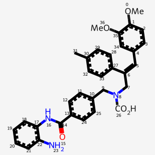 COc1ccc(C=C(CN(Cc2ccc(C(=O)Nc3ccccc3N)cc2)C(=O)O)c2ccc(C)cc2)cc1OC